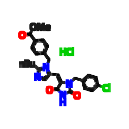 CCCCc1ncc(C=C2C(=O)NC(=O)N2Cc2ccc(Cl)cc2)n1Cc1ccc(C(=O)OC)cc1.Cl